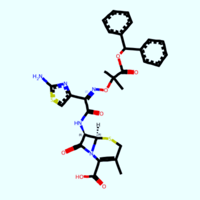 CC1=C(C(=O)O)N2C(=O)[C@@H](NC(=O)/C(=N\OC(C)(C)C(=O)OC(c3ccccc3)c3ccccc3)c3csc(N)n3)[C@H]2SC1